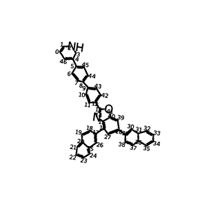 C1=CNCC(c2ccc(-c3ccc(-c4nc5c(-c6ccc7ccccc7c6)cc(C6=CC7C=CC=CC7C=C6)cc5o4)cc3)cc2)=C1